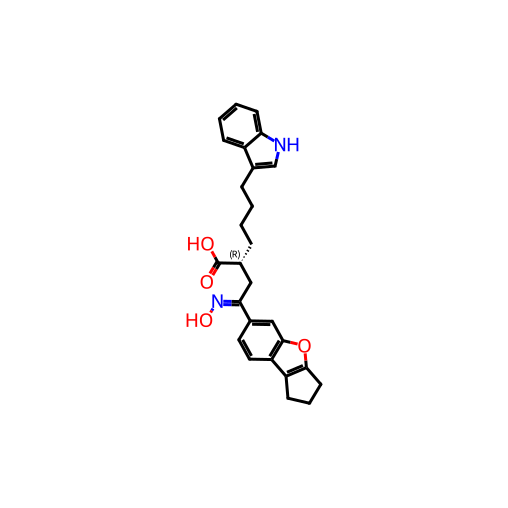 O=C(O)[C@H](CCCCc1c[nH]c2ccccc12)CC(=NO)c1ccc2c3c(oc2c1)CCC3